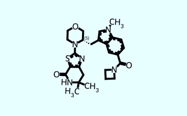 Cn1cc(C[C@H]2COCCN2c2nc3c(s2)C(=O)NC(C)(C)C3)c2cc(C(=O)N3CCC3)ccc21